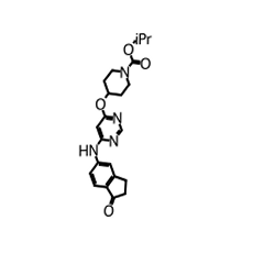 CC(C)OC(=O)N1CCC(Oc2cc(Nc3ccc4c(c3)CCC4=O)ncn2)CC1